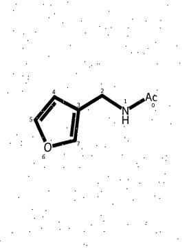 CC(=O)NCc1ccoc1